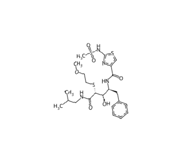 COCCS[C@@H](C(=O)NCC(C)C)[C@H](O)[C@H](Cc1ccccc1)NC(=O)c1csc(NS(C)(=O)=O)n1